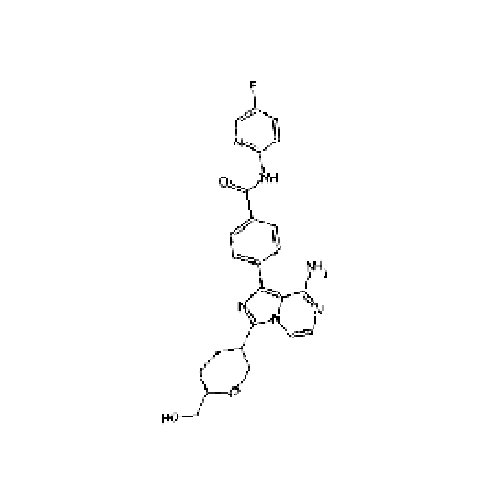 Nc1nccn2c(C3CCC(CO)OC3)nc(-c3ccc(C(=O)Nc4ccc(F)cn4)cc3)c12